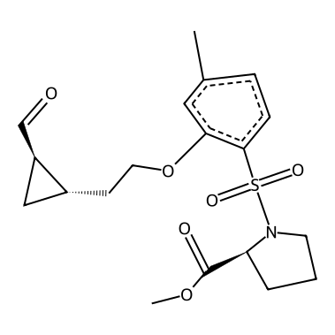 COC(=O)[C@@H]1CCCN1S(=O)(=O)c1ccc(C)cc1OCC[C@@H]1C[C@H]1C=O